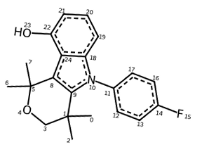 CC1(C)COC(C)(C)c2c1n(-c1ccc(F)cc1)c1cccc(O)c21